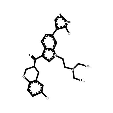 CCN(CC)CCn1cc(C(=O)C2COc3ccc(Cl)cc3C2)c2ccc(-c3cn[nH]c3Cl)cc21